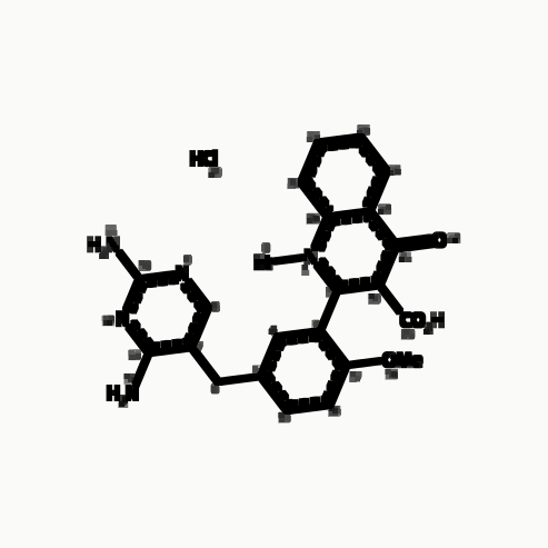 CCn1c(-c2cc(Cc3cnc(N)nc3N)ccc2OC)c(C(=O)O)c(=O)c2ccccc21.Cl